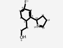 OCCC1CC=C(F)C=C1C1CCC=N1